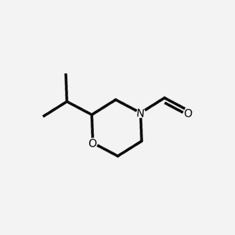 CC(C)C1CN(C=O)CCO1